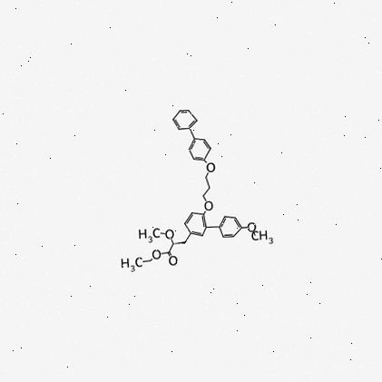 CCOC(=O)[C@H](Cc1ccc(OCCCOc2ccc(-c3ccccc3)cc2)c(-c2ccc(OC)cc2)c1)OC